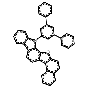 c1ccc(-c2cc(-c3ccccc3)cc(-n3c4ccccc4c4ccc5c(oc6ccc7ccccc7c65)c43)c2)cc1